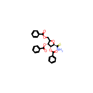 NC(=S)[C@@H]1OC(COC(=O)c2ccccc2)[C@@H](OC(=O)c2ccccc2)[C@H]1OC(=O)c1ccccc1